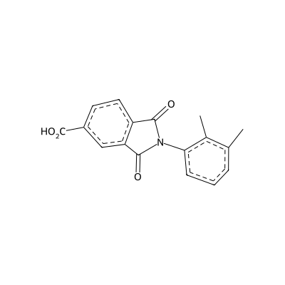 Cc1cccc(N2C(=O)c3ccc(C(=O)O)cc3C2=O)c1C